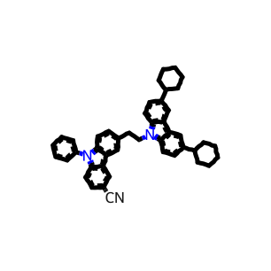 N#Cc1ccc2c(c1)c1cc(CCn3c4ccc(C5CCCCC5)cc4c4cc(C5CCCCC5)ccc43)ccc1n2-c1ccccc1